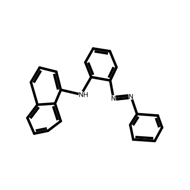 c1ccc(N=Nc2ccccc2Nc2cccc3ccccc23)cc1